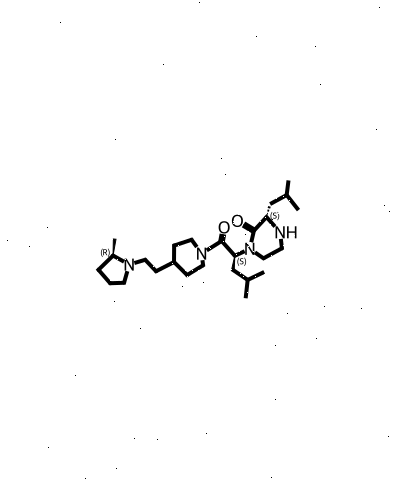 CC(C)C[C@@H]1NCCN([C@@H](CC(C)C)C(=O)N2CCC(CCN3CCC[C@H]3C)CC2)C1=O